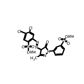 COS(=O)(=O)c1cccc(N2N=C(C)C(/N=N/c3cc(Cl)c(Cl)cc3S(=O)(=O)OC)C2=O)c1